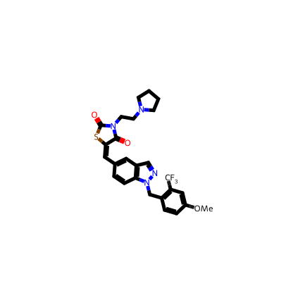 COc1ccc(Cn2ncc3cc(C=C4SC(=O)N(CCN5CCCC5)C4=O)ccc32)c(C(F)(F)F)c1